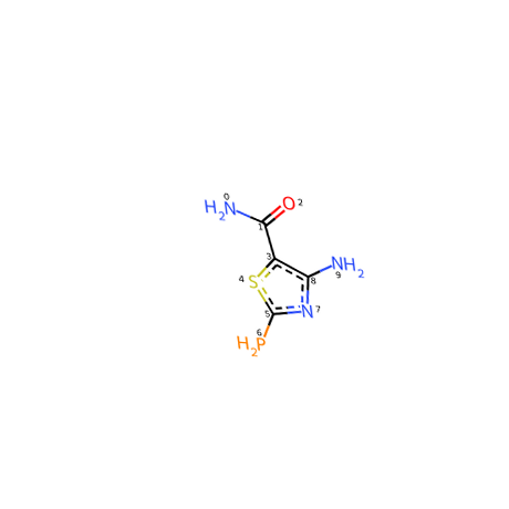 NC(=O)c1sc(P)nc1N